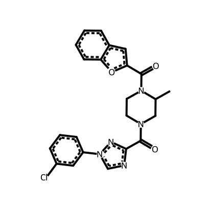 CC1CN(C(=O)c2ncn(-c3cccc(Cl)c3)n2)CCN1C(=O)c1cc2ccccc2o1